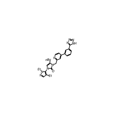 CCCCc1cn(-c2c(CC)cnn2CC)c(=O)n1Cc1cc(-c2cccc(-c3nnn[nH]3)c2)ccn1